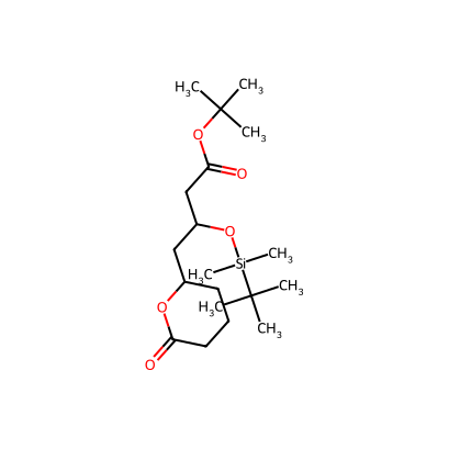 CC(C)(C)OC(=O)CC(CC1CCCC(=O)O1)O[Si](C)(C)C(C)(C)C